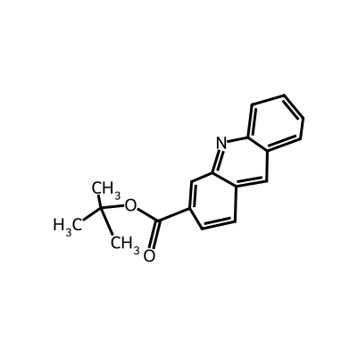 CC(C)(C)OC(=O)c1ccc2cc3ccccc3nc2c1